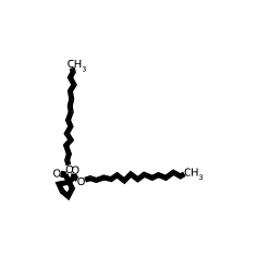 CCCCCCCCCCCCCCCOC(=O)C1(C(=O)OCCCCCCCCCCCCCCC)CCCC1